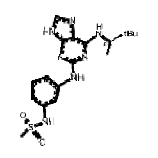 C[C@@H](Nc1nc(Nc2cccc(NS(C)(=O)=O)c2)nc2[nH]cnc12)C(C)(C)C